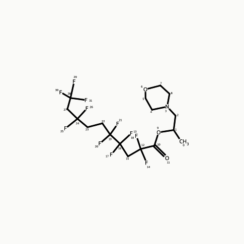 CC(CN1CCOCC1)OC(=O)C(F)(F)CC(F)(F)C(F)(F)CCC(F)(F)CC(F)(F)F